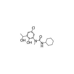 CC(O)c1cc(Cl)cc(N(C)C(=O)NC2CCCCC2)c1O